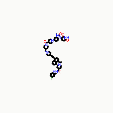 CC(c1ccc(C#CC2CCN(CC3CCN(C(=O)C4CCN(c5ccc6c(c5)n(C)c(=O)n6C5CCC(=O)NC5=O)CC4)CC3)CC2)c2ccccc12)N1CCC(C(=O)NCc2cccc(F)c2)CC1